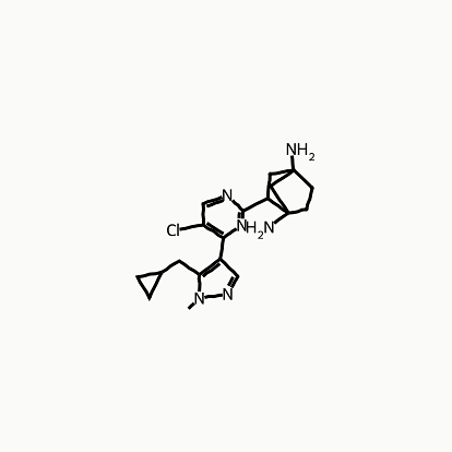 Cn1ncc(-c2nc(C3CC4(N)CCC3(N)C4)ncc2Cl)c1CC1CC1